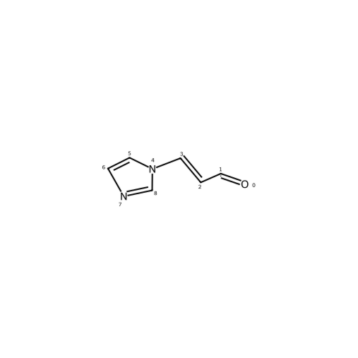 O=[C]C=Cn1ccnc1